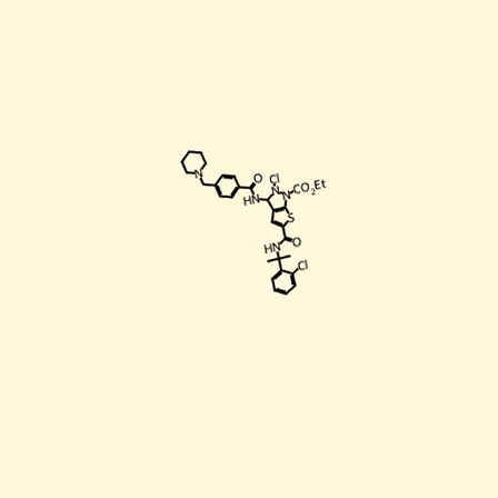 CCOC(=O)N1c2sc(C(=O)NC(C)(C)c3ccccc3Cl)cc2C(NC(=O)c2ccc(CN3CCCCC3)cc2)N1Cl